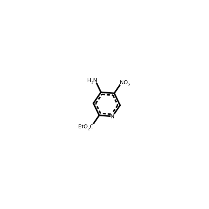 CCOC(=O)c1cc(N)c([N+](=O)[O-])cn1